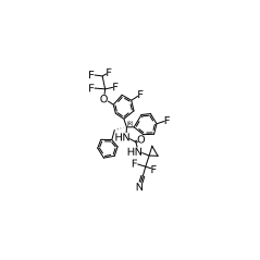 N#CC(F)(F)C1(NC(=O)N[C@](Cc2ccccc2)(c2ccc(F)cc2)c2cc(F)cc(OC(F)(F)C(F)F)c2)CC1